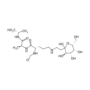 C[C@H](NC(=O)[C@H](C)NC(=O)[C@H](CCCNCCC1(O)O[C@H](CO)[C@H](O)[C@H](O)[C@H]1O)NCCl)C(=O)O